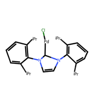 CC(C)c1cccc(C(C)C)c1N1C=CN(c2c(C(C)C)cccc2C(C)C)[CH]1[Pd][Cl]